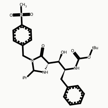 CC(C)C1N[C@@H]([C@@H](O)[C@H](Cc2ccccc2)NC(=O)OC(C)(C)C)C(=O)N1Cc1ccc(S(C)(=O)=O)cc1